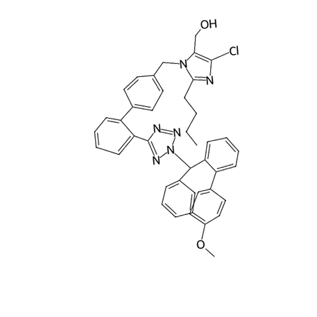 CCCCc1nc(Cl)c(CO)n1Cc1ccc(-c2ccccc2-c2nnn(C(c3ccccc3)c3ccccc3-c3ccc(OC)cc3)n2)cc1